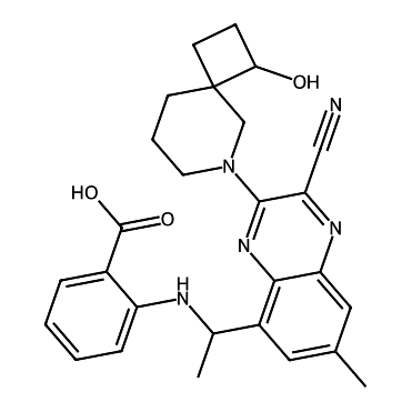 Cc1cc(C(C)Nc2ccccc2C(=O)O)c2nc(N3CCCC4(CCC4O)C3)c(C#N)nc2c1